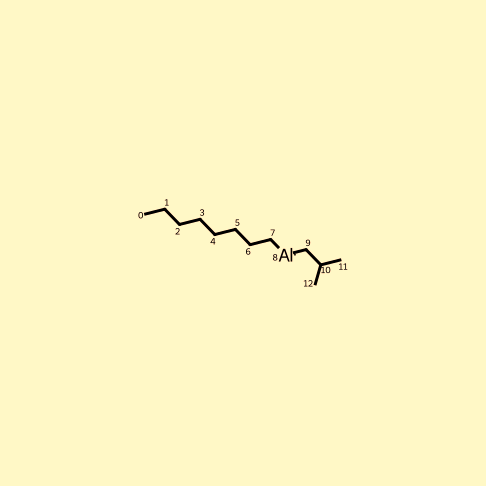 CCCCCCC[CH2][Al][CH2]C(C)C